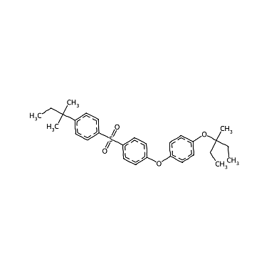 CCC(C)(CC)Oc1ccc(Oc2ccc(S(=O)(=O)c3ccc(C(C)(C)CC)cc3)cc2)cc1